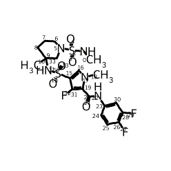 CNS(=O)(=O)N1CCCC(C)(NS(=O)(=O)c2cn(C)c(C(=O)Nc3ccc(F)c(F)c3)c2F)C1